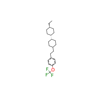 CC[C@H]1CC[C@H](C2CCC(CCc3ccc(OC(F)(F)F)cc3)CC2)CC1